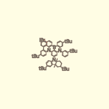 CC(C)c1ccc2c(c1)N(c1ccc(C(C)(C)C)cc1C1=CC=C=C=C1)c1cc(N3c4ccc(C(C)(C)C)cc4C4(C)CC(C(C)(C)C)CCC34C)cc3c1B2c1ccc(C(C)(C)C)cc1N3c1cccc(C(C)(C)C)c1